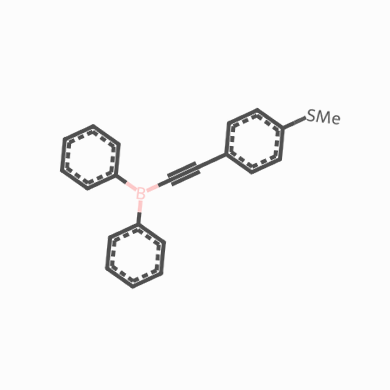 CSc1ccc(C#CB(c2ccccc2)c2ccccc2)cc1